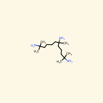 CC(C)(N)CCCCC(C)(N)CCCC(C)(C)N